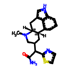 CN1CC(C(C(N)=O)c2nccs2)C[C@@H]2c3cccc4[nH]cc(c34)C[C@H]21